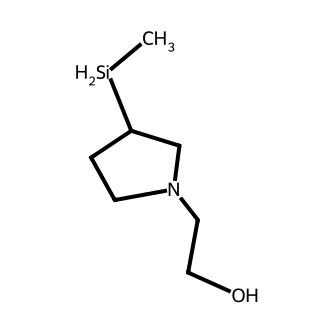 C[SiH2]C1CCN(CCO)C1